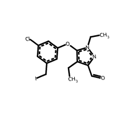 CCc1c(C=O)nn(CC)c1Oc1cc(Cl)cc(CI)c1